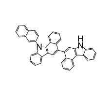 c1ccc2cc(-n3c4ccccc4c4cc(-c5cc6[nH]c7ccccc7c6c6ccccc56)c5ccccc5c43)ccc2c1